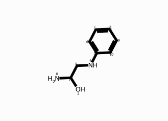 NC(O)CNc1cc[c]cc1